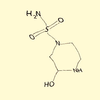 NS(=O)(=O)N1CCNC(O)C1